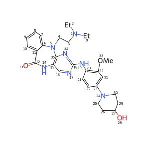 CCN(CC)CCN1c2ccccc2C(=O)Nc2cnc(Nc3ccc(N4CCC(O)CC4)cc3OC)nc21